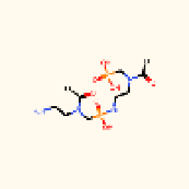 CCC(=O)N(CCNP(=O)(O)CN(CCN)C(=O)CC)CP(=O)(O)O